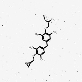 COC(C)COc1c(C)cc(Cc2cc(C)c(OCC3CO3)c(C)c2)cc1C